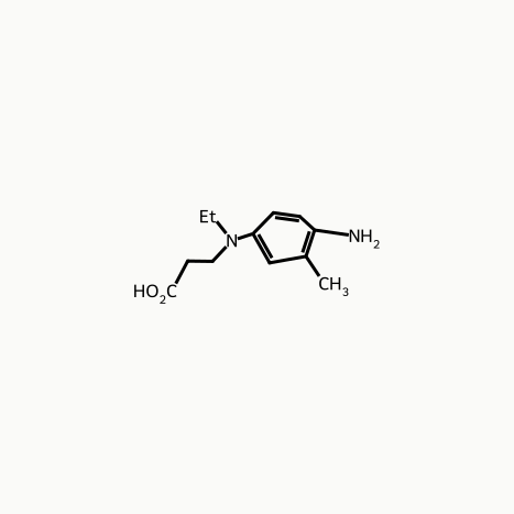 CCN(CCC(=O)O)c1ccc(N)c(C)c1